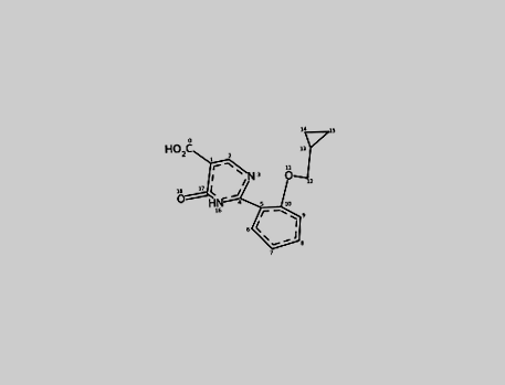 O=C(O)c1cnc(-c2ccccc2OCC2CC2)[nH]c1=O